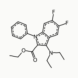 CCOC(=O)c1c(N(CC)CC)c2cc(F)c(F)cc2n1-c1ccccc1